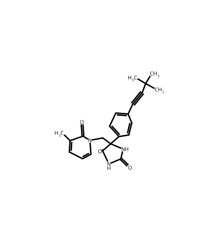 Cc1cccn(CC2(c3ccc(C#CC(C)(C)C)cc3)NC(=O)NC2=O)c1=O